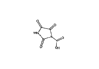 O=C1NC(=O)N(C(=O)O)C1=O